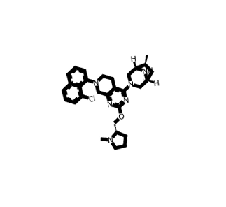 C[C@H]1C[C@@H]2CN(c3nc(OC[C@@H]4CCCN4C)nc4c3CCN(c3cccc5cccc(Cl)c35)C4)C[C@H]1N2